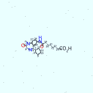 CN1C(=O)CN=C(c2ccccc2)c2cc(NC(=O)CCCCCCC(=O)O)ccc21